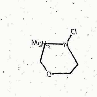 ClN1CCOCC1.[MgH2]